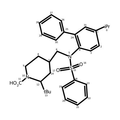 CC(C)c1ccc(N(CC2CCN(C(=O)O)C(C(C)(C)C)C2)S(=O)(=O)c2ccccc2)c(-c2ccccc2)c1